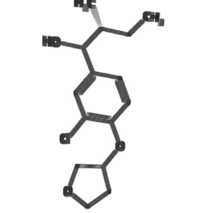 CC[C@@H](C)C(O)c1ccc(OC2CCOC2)c(Cl)c1